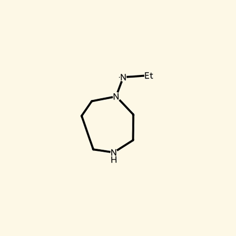 CC[N]N1CCCNCC1